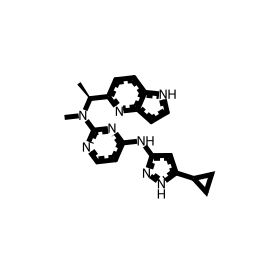 C[C@@H](c1ccc2[nH]ccc2n1)N(C)c1nccc(Nc2cc(C3CC3)[nH]n2)n1